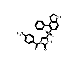 Nc1ccc(C(=O)n2cc(S(=O)(=O)c3ccc4c(c3-c3ccccc3)CCN4)[nH]c2=O)cc1